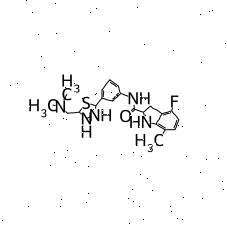 Cc1ccc(F)c2c1NC(C(=O)Nc1cccc(C3NNC(CN(C)C)S3)c1)C2